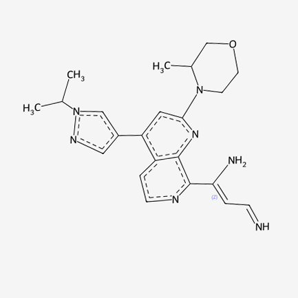 CC1COCCN1c1cc(-c2cnn(C(C)C)c2)c2ccnc(/C(N)=C/C=N)c2n1